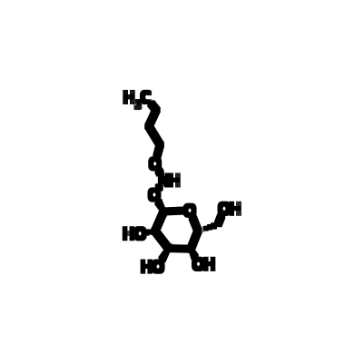 CCCCONO[C@H]1O[C@H](CO)[C@@H](O)[C@@H](O)[C@@H]1O